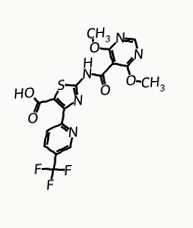 COc1ncnc(OC)c1C(=O)Nc1nc(-c2ccc(C(F)(F)F)cn2)c(C(=O)O)s1